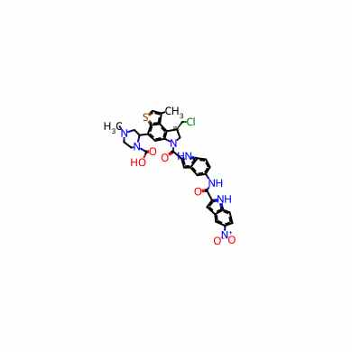 Cc1csc2c(C3CN(C)CCN3C(=O)O)cc3c(c12)[C@@H](CCl)CN3C(=O)c1cc2cc(NC(=O)c3cc4cc([N+](=O)[O-])ccc4[nH]3)ccc2[nH]1